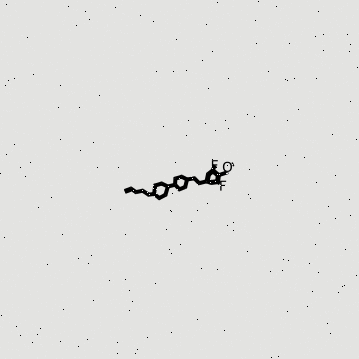 C=CCCCC1CCC(C2CCC(CCc3cc(F)c(COC)c(F)c3)CC2)CC1